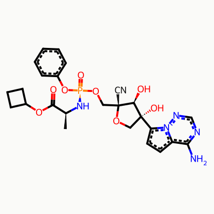 C[C@H](N[P@@](=O)(OC[C@@]1(C#N)OC[C@](O)(c2ccc3c(N)ncnn23)[C@@H]1O)Oc1ccccc1)C(=O)OC1CCC1